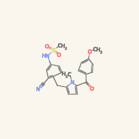 COc1ccc(C(=O)c2ccc(Cc3ccc(NS(C)(=O)=O)cc3C#N)n2C)cc1